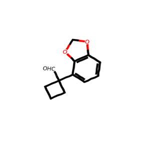 O=CC1(c2cccc3c2OCO3)CCC1